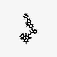 C=C1/C(=C\C=C2/CN(c3ccc4c(c3)C(C)(C)c3cc(-c5ccncc5)ccc3-4)c3ccccc32)P(=O)(c2ccccc2)c2ccccc21